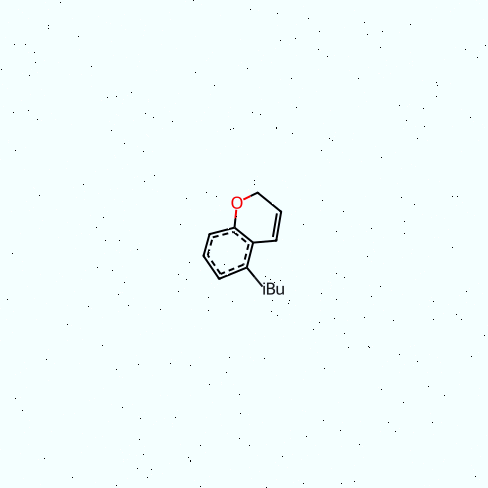 CCC(C)c1cccc2c1C=CCO2